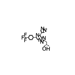 C[C@@H](CO)Cc1nc2c(-c3cnn(C)c3)nc(-c3ccc(C(F)(F)F)cc3)cn2n1